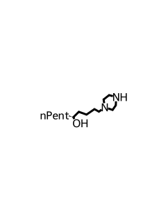 CCCCC[C@@H](O)CCCCN1CCNCC1